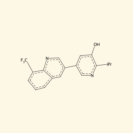 CC(C)c1ncc(-c2cnc3c(C(F)(F)F)cccc3c2)cc1O